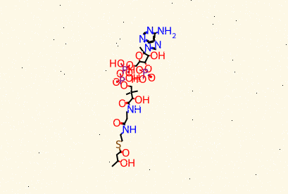 CC(O)CC(=O)SCCNC(=O)CCNC(=O)C(O)C(C)(C)COP(=O)(O)OP(=O)(O)OCC1OC(C)(n2cnc3c(N)ncnc32)C(O)C1OP(=O)(O)O